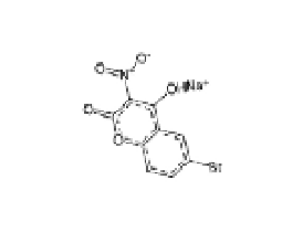 O=c1oc2ccc(Br)cc2c(O)c1[N+](=O)[O-].[Na+]